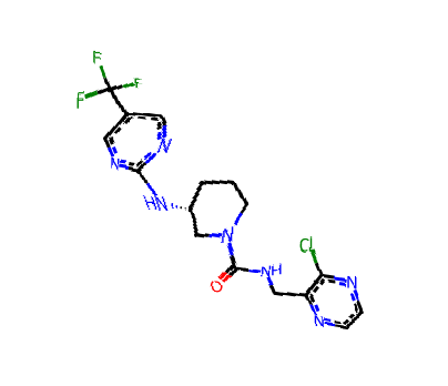 O=C(NCc1nccnc1Cl)N1CCC[C@@H](Nc2ncc(C(F)(F)F)cn2)C1